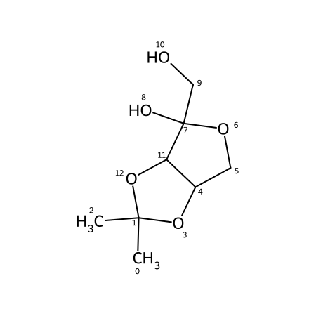 CC1(C)OC2COC(O)(CO)C2O1